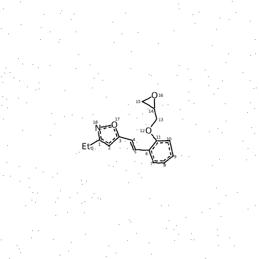 CCc1cc(C=Cc2ccccc2OCC2CO2)on1